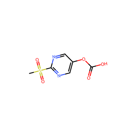 CS(=O)(=O)c1ncc(OC(=O)O)cn1